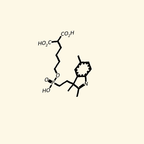 CC1=Nc2ccc(C)cc2C1(C)CCP(=O)(O)OCCCCC(C(=O)O)C(=O)O